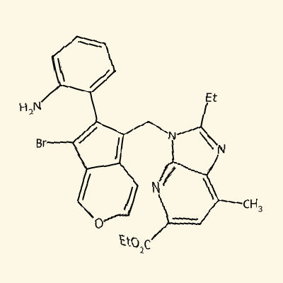 CCOC(=O)c1cc(C)c2nc(CC)n(Cc3c4ccocc-4c(Br)c3-c3ccccc3N)c2n1